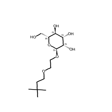 CC(C)(C)CCOCCO[C@H]1O[C@H](CO)[C@@H](O)[C@H](O)[C@@H]1O